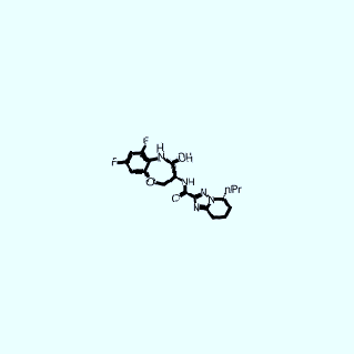 CCC[C@@H]1CCCc2nc(C(=O)N[C@H]3COc4cc(F)cc(F)c4NC3O)nn21